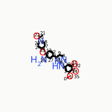 COc1cc(Nc2nccc(-c3ccc(OC4CCN(C(C)=O)CC4)c(N)c3)n2)cc(OC)c1OC